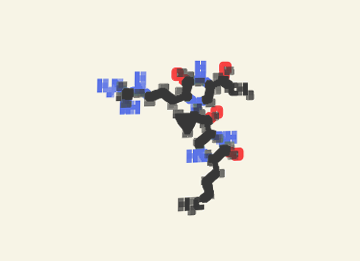 CCCC[C@@H]1NC[C@H](C(=O)C2(N3C[C@H](C(C)=O)NC(=O)[C@@H]3CCCNC(=N)N)CC2)NC1=O